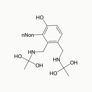 CCCCCCCCCc1c(O)ccc(CNC(C)(O)O)c1CNC(C)(O)O